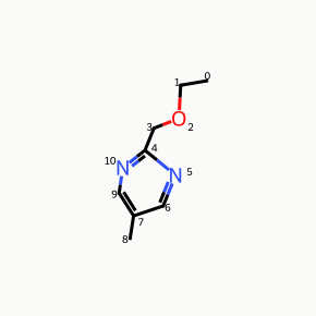 CCOCc1ncc(C)cn1